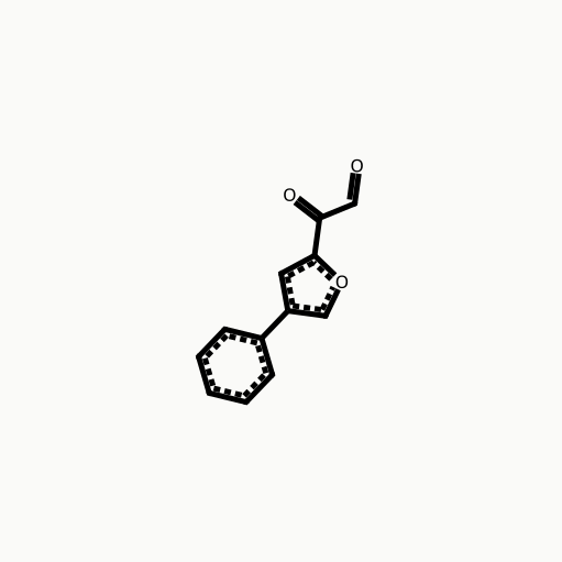 O=CC(=O)c1cc(-c2ccccc2)co1